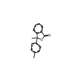 Cc1ccc(C2(C)OC(=O)c3ccccc32)cc1